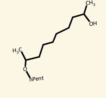 CCCCCOC(C)CCCCCCC(C)O